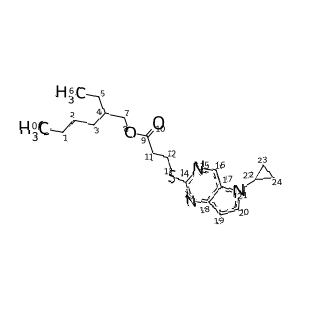 CCCCC(CC)COC(=O)CCSc1ncc2c(ccn2C2CC2)n1